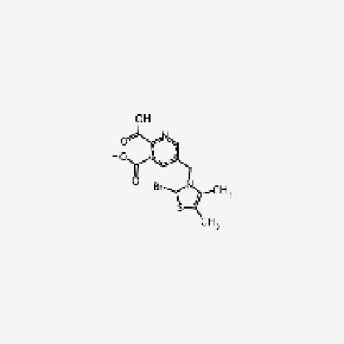 CC1=C(C)N(Cc2cnc(C(=O)O)c(C(=O)O)c2)C(Br)S1